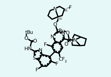 CC(C)(C)OC(=O)Nc1nc2c(-c3c(C(F)(F)F)cc4c(N5CC6CCC(C5)N6C(=O)OC(C)(C)C)nc(OC[C@@]56CCCN5C[C@H](F)C6)nc4c3F)c(F)cc(F)c2s1